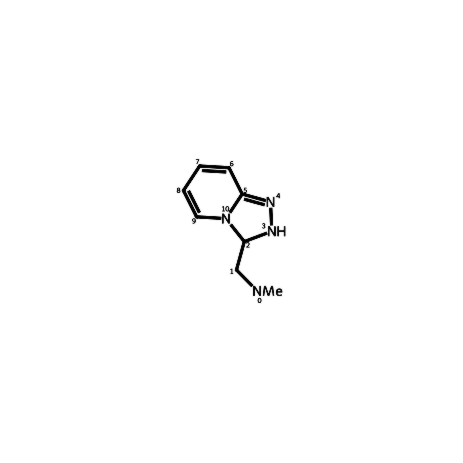 CNCC1NN=C2C=CC=CN21